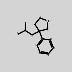 CC(C)CC1(c2ccccc2)CCOC1